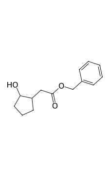 O=C(CC1CCCC1O)OCc1ccccc1